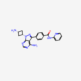 Nc1ncnc2c1c(-c1ccc(C(=O)Nc3ccccn3)cc1)nn2[C@H]1C[C@@H](N)C1